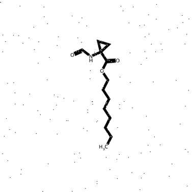 CCCCCCCCOC(=O)C1(NC=O)CC1